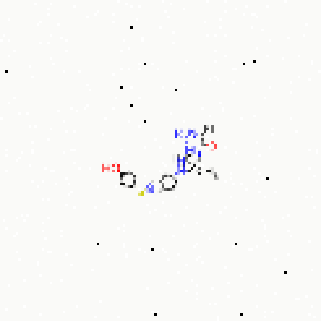 CCC(N)C(=O)NCC(C)(C)CNc1ccc2c(c1)CN(Sc1ccc(O)cc1)C2